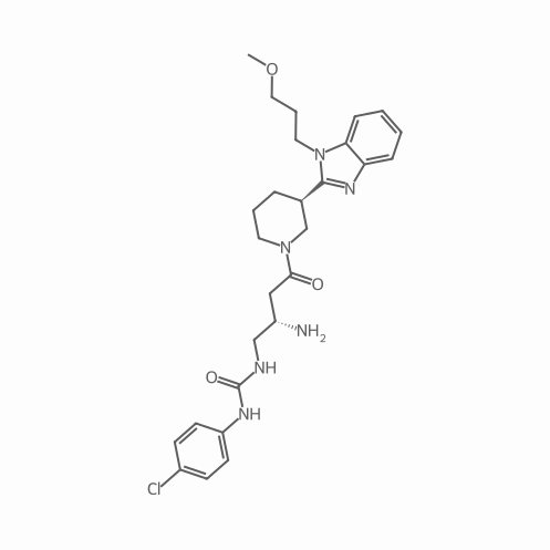 COCCCn1c([C@@H]2CCCN(C(=O)C[C@H](N)CNC(=O)Nc3ccc(Cl)cc3)C2)nc2ccccc21